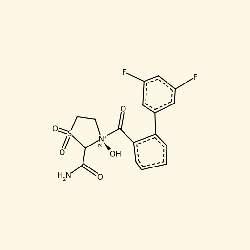 NC(=O)C1[N@@+](O)(C(=O)c2ccccc2-c2cc(F)cc(F)c2)CCS1(=O)=O